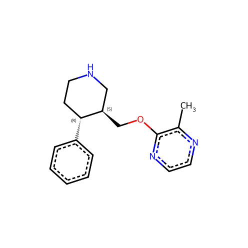 Cc1nccnc1OC[C@@H]1CNCC[C@H]1c1ccccc1